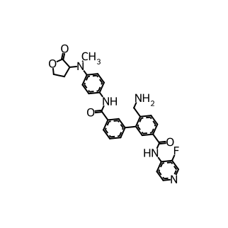 CN(c1ccc(NC(=O)c2cccc(-c3cc(C(=O)Nc4ccncc4F)ccc3CN)c2)cc1)C1CCOC1=O